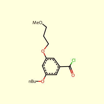 CCCCOc1cc(OCCCOC)cc(C(=O)Cl)c1